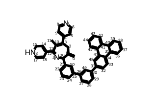 C=C1CC(c2ccncc2)=C(C)C(C2=CCNC=C2)=NC1c1cccc(-c2cccc(-c3ccc4c5ccccc5c5ccccc5c4c3)c2)c1